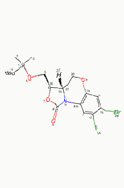 CC(C)(C)[Si](C)(C)OC[C@@H]1OC(=O)N2c3cc(F)c(Br)cc3OC[C@@H]12